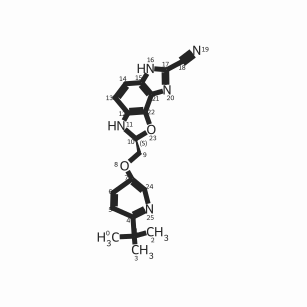 CC(C)(C)c1ccc(OC[C@H]2Nc3ccc4[nH]c(C#N)nc4c3O2)cn1